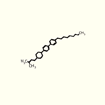 CCCCCCCCCc1ccc(-c2ccc(C3CCC(CCC(C)C)CC3)cc2)cc1